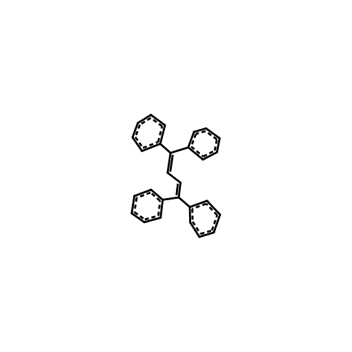 C(C=C(c1ccccc1)c1ccccc1)=C(c1ccccc1)c1ccccc1